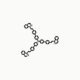 C(=C\c1nccc2ccccc12)/c1ccc(-c2ccc(N(c3ccc(-c4ccc(/C=C/c5nccc6ccccc56)cc4)cc3)c3ccc(-c4ccc(/C=C/c5nccc6ccccc56)cc4)cc3)cc2)cc1